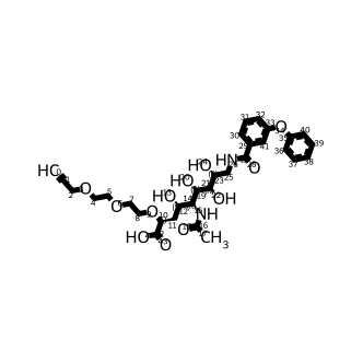 C#CCOCCOCCO[C@@H](C[C@H](O)[C@@H](NC(C)=O)[C@@H](O)[C@H](O)[C@H](O)CNC(=O)c1cccc(Oc2ccccc2)c1)C(=O)O